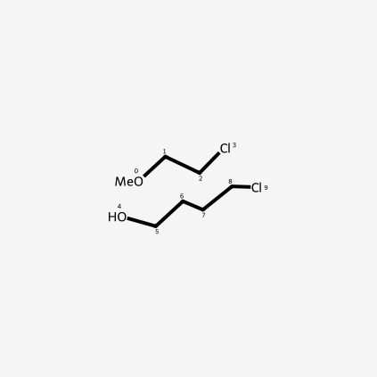 COCCCl.OCCCCCl